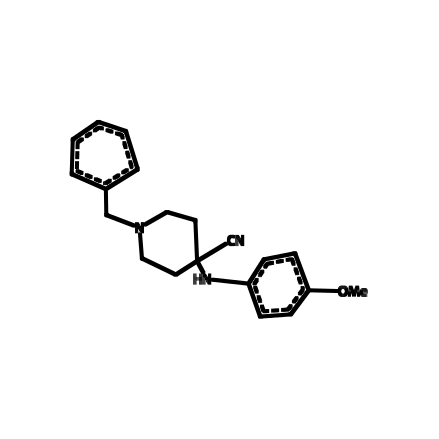 COc1ccc(NC2(C#N)CCN(Cc3ccccc3)CC2)cc1